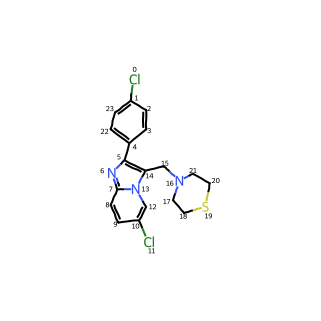 Clc1ccc(-c2nc3ccc(Cl)cn3c2CN2CCSCC2)cc1